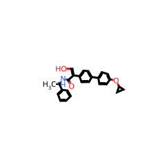 C[C@@H](NC(=O)C(=CO)c1ccc(-c2ccc(OC3CC3)cc2)cc1)c1ccccc1